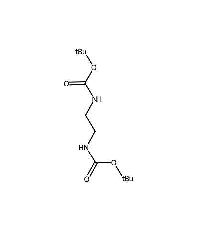 CC(C)(C)OC(=O)NCCNC(=O)OC(C)(C)C